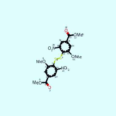 COC(=O)c1cc(OC)c(SSc2c(OC)cc(C(=O)OC)cc2[N+](=O)[O-])c([N+](=O)[O-])c1